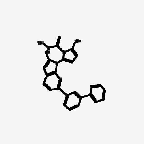 CC(C)(C)OC(=O)n1c(-n2c(C(C)(C)C)cc3ccc(-c4cccc(-c5ccccn5)c4)nc32)ccc1C(C)(C)C